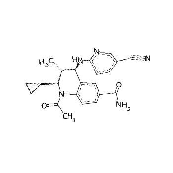 CC(=O)N1c2ccc(C(N)=O)cc2[C@H](Nc2ccc(C#N)cn2)[C@@H](C)[C@@H]1C1CC1